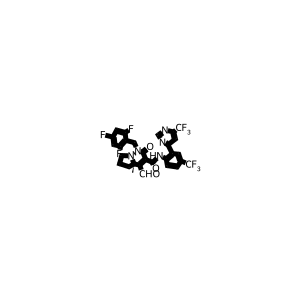 C[C@]12CCCN1N(Cc1c(F)cc(F)cc1F)C(=O)C(C(=O)Nc1ccc(C(F)(F)F)cc1-c1cc(C(F)(F)F)ncn1)=C2C=O